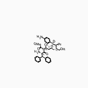 COC(=O)N(C(=O)[C@@H](N)C(c1ccccc1)c1ccccc1)[C@H](CCC[C@@H](CO)N(C(C)C)S(=O)(=O)c1ccc(N)cc1)C(F)(F)F